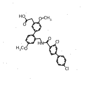 COc1ccc(-c2ccc(OC)c(CC(=O)O)c2)c(CNC(=O)c2ccc(-c3ccc(Cl)cc3)cc2Cl)c1